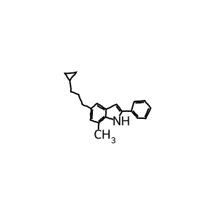 Cc1cc(CCCC2CC2)cc2cc(-c3ccccc3)[nH]c12